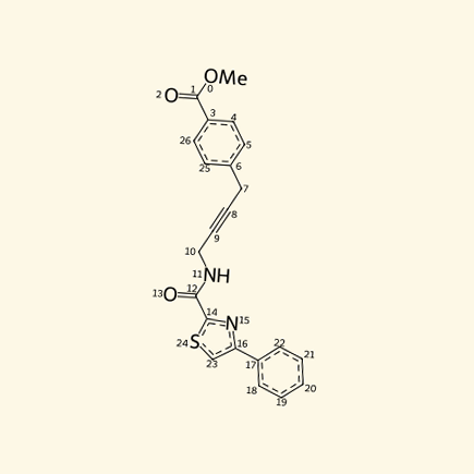 COC(=O)c1ccc(CC#CCNC(=O)c2nc(-c3ccccc3)cs2)cc1